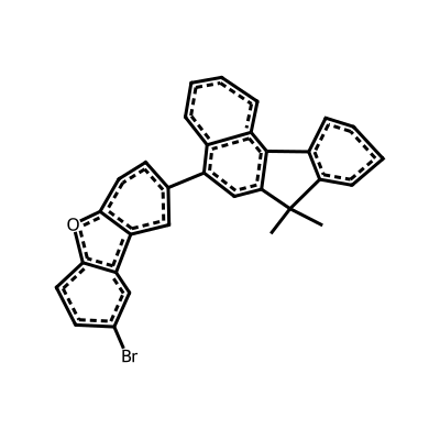 CC1(C)c2ccccc2-c2c1cc(-c1ccc3oc4ccc(Br)cc4c3c1)c1ccccc21